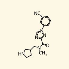 CN(CC1CCNC1)C(=O)c1ncn(-c2cccc(C#N)c2)n1